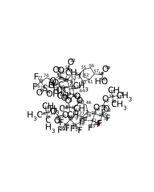 CCC(C)(C(=O)OC1CC(C(OC(=O)OC(C)(C)C)(C(F)(F)F)C(F)(F)F)CC(C(OC(=O)OC(C)(C)C)(C(F)(F)F)C(F)(F)F)C1)C1C(=O)OC(=O)C1C1C2CC(C(=O)O)C(C2)C1CC(C)(CC(C)(C)C(=O)OCC(F)(F)S(=O)(=O)O)C(=O)OC(C)(C)C